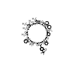 CC[C@H](C)[C@@H]1NC(=O)[C@H](CC(C)C)N(C)C(=O)C[C@@H](C(=O)N2CCCCC2)N(C)C(=O)[C@H](C2CCCCC2)N(C)C(=O)C2(CCCC2)NC(=O)[C@H](CC2CCCC2)N(C)C(=O)[C@H](CCc2ccc(C(F)(F)F)c(Cl)c2)NC(=O)CN(C)C(=O)[C@H](CC2CCCCC2)N(C)C(=O)CN(C)C(=O)CN(C)C1=O